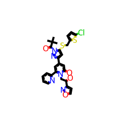 CC(C)(C)C(=O)n1nc(-c2cc(-c3ccccn3)n(CC(=O)c3ccon3)c(=O)c2)cc1SCc1ccc(Cl)s1